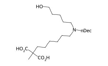 CCCCCCCCCCN(CCCCCO)CCCCCCC(C)(C(=O)O)C(=O)O